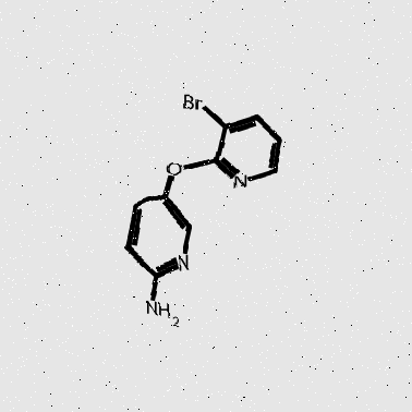 Nc1ccc(Oc2ncccc2Br)cn1